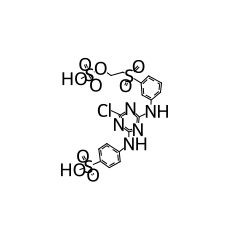 O=S(=O)(O)OCCS(=O)(=O)c1cccc(Nc2nc(Cl)nc(Nc3ccc(S(=O)(=O)O)cc3)n2)c1